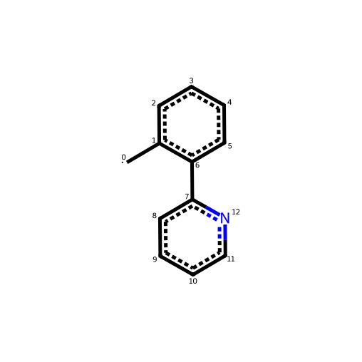 [CH2]c1ccccc1-c1ccccn1